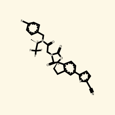 C[C@H](N(Cc1ccc(F)cc1)C(=O)CN1C(=O)O[C@@]2(CCc3cc(-c4ccc(C#N)s4)ccc32)C1=O)C(F)(F)F